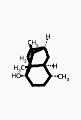 C[C@@H]1CC[C@@]2(O)C(C)(C)[C@H]3CC[C@]2(C)[C@H]1C3